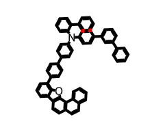 c1ccc(-c2cccc(-c3ccc(N(c4ccc(-c5ccc(-c6cccc7c6oc6c7ccc7ccc8ccccc8c76)cc5)cc4)c4ccccc4-c4ccccc4)cc3)c2)cc1